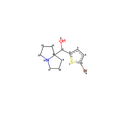 OC(c1ccc(Br)s1)C12CCCN1CCC2